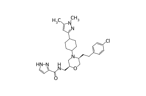 Cc1cc(C2CCC(N3C[C@H](CNC(=O)c4cc[nH]n4)OC[C@@H]3CCc3ccc(Cl)cc3)CC2)nn1C